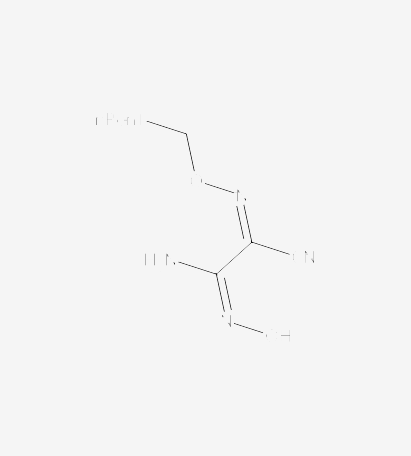 CCCCCCO/N=C(C#N)\C(N)=N/O